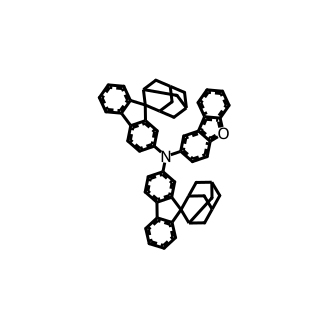 c1ccc2c(c1)-c1ccc(N(c3ccc4c(c3)C3(c5ccccc5-4)C4CC5CC(C4)CC3C5)c3ccc4oc5ccccc5c4c3)cc1C21C2CC3CC(C2)CC1C3